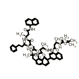 C[C@H](N)CC(=O)Nc1c(CC(C)(C)NC(=O)C[C@H](NC(=O)CCc2ccccc2)C(=O)N[C@@H](C)CC(=O)Nc2cccc3ccccc23)ccc2ccc(-c3cc(NC(=O)C[C@H](C)NC(=O)OC(C)(C)C)c4ccccc4c3)cc12